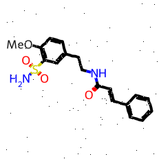 COc1ccc(CCNC(=O)/C=C/c2ccccc2)cc1S(N)(=O)=O